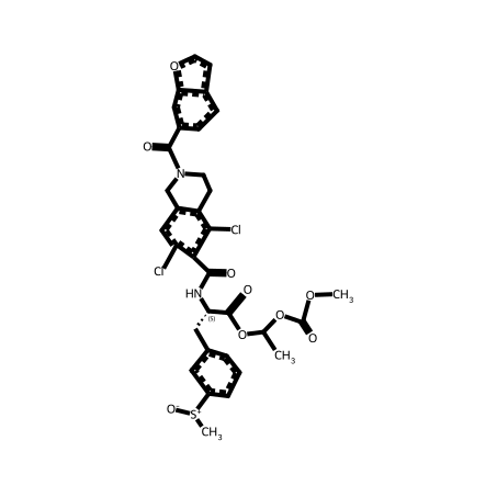 COC(=O)OC(C)OC(=O)[C@H](Cc1cccc([S+](C)[O-])c1)NC(=O)c1c(Cl)cc2c(c1Cl)CCN(C(=O)c1ccc3ccoc3c1)C2